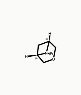 CC(C)N1[C@@H]2COC[C@H]1C2